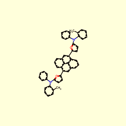 Cc1ccccc1N(c1ccccc1)c1ccc(-c2cc3cccc4c(-c5ccc(N(c6ccccc6)c6ccccc6C)o5)cc5cccc2c5c34)o1